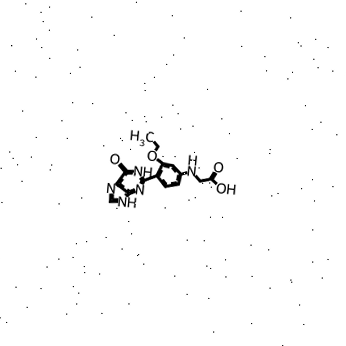 CCOc1cc(NCC(=O)O)ccc1-c1nc2[nH]cnc2c(=O)[nH]1